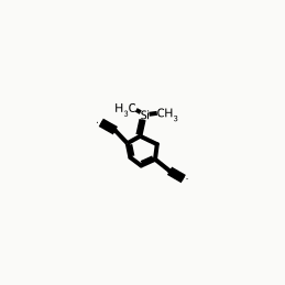 [C]#CC1=CC=C(C#[C])C(=[Si](C)C)C1